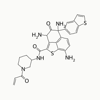 C=CC(=O)N1CCCC(NC(=O)c2sc3c(N)ccc4c3c2C(N)C(=O)C4(N)c2ccc3sccc3c2)C1